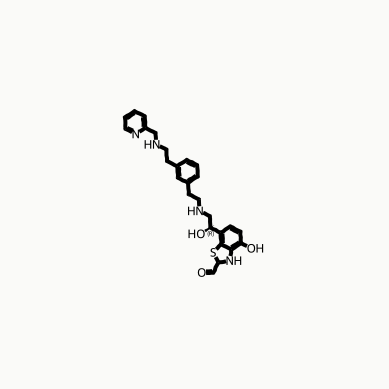 O=CC1Nc2c(O)ccc([C@@H](O)CNCCc3cccc(CCNCc4ccccn4)c3)c2S1